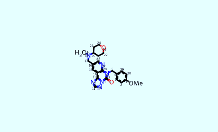 COc1ccc(Cn2c(=O)n3ncnc3c3cc(CN(C)C4CCOCC4)cnc32)cc1